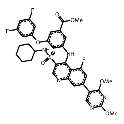 COC(=O)c1cc(Nc2c(S(=O)(=O)NC3CCCCC3)cnc3cc(-c4cnc(OC)nc4OC)cc(F)c23)cc(Oc2cc(F)cc(F)c2)c1